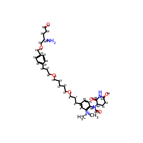 CN(C)c1cc(CCCOCCCCCOCCCc2ccc(COC[C@@H](N)CCC=O)cc2)ccc1N(C=O)C1CCC(=O)NC1=O